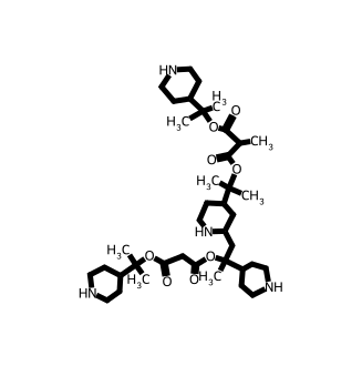 CC(C(=O)OC(C)(C)C1CCNCC1)C(=O)OC(C)(C)C1CCNC(CC(C)(OC(=O)CC(=O)OC(C)(C)C2CCNCC2)C2CCNCC2)C1